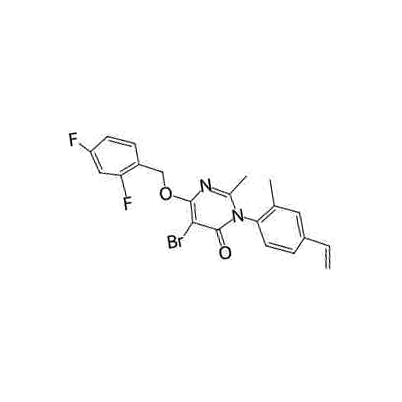 C=Cc1ccc(-n2c(C)nc(OCc3ccc(F)cc3F)c(Br)c2=O)c(C)c1